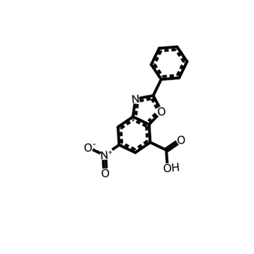 O=C(O)c1cc([N+](=O)[O-])cc2nc(-c3ccccc3)oc12